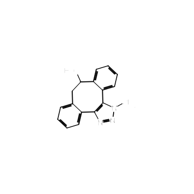 CC1Cc2ccccc2-c2nnn(P)c2-c2ccccc21